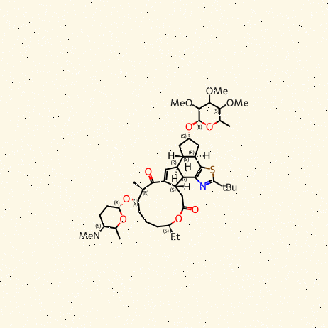 CC[C@H]1CCC[C@H](O[C@H]2CC[C@H](NC)C(C)O2)[C@@H](C)C(=O)C2=C[C@H]3[C@@H]4C[C@H](O[C@@H]5OC(C)[C@H](OC)C(OC)C5OC)C[C@H]4c4sc(C(C)(C)C)nc4[C@H]3[C@@H]2CC(=O)O1